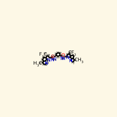 Cc1ccnc2c1ccc1c(C(F)(F)F)cc(-c3nnc(-c4cccc(-c5nnc(-c6cc(C(F)(F)F)c7ccc8c(C)ccnc8c7n6)o5)c4)o3)nc12